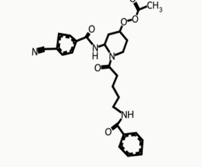 CC(=O)OOC1CCN(C(=O)CCCCNC(=O)c2ccccc2)C(NC(=O)c2ccc(C#N)cc2)C1